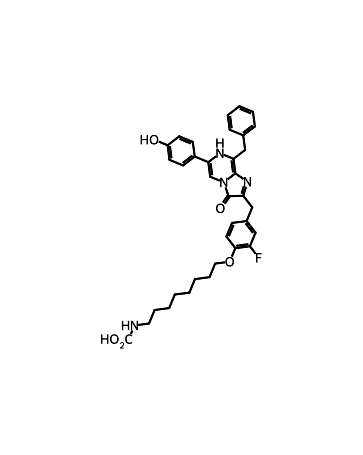 O=C(O)NCCCCCCCCOc1ccc(Cc2nc3c(Cc4ccccc4)[nH]c(-c4ccc(O)cc4)cn-3c2=O)cc1F